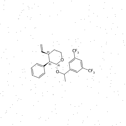 C=C[C@H]1CCO[C@H](OC(C)c2cc(C(F)(F)F)cc(C(F)(F)F)c2)[C@H]1c1ccccc1